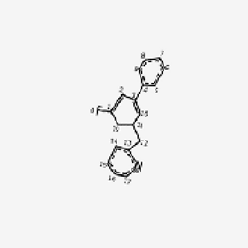 FC1=CC(c2ccccc2)=CC(Cc2ccccn2)C1